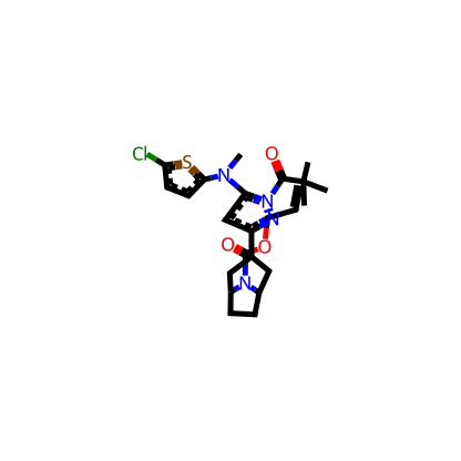 C=CCOC(=O)N1C2CCC1CC(c1cc(N(C)c3ccc(Cl)s3)n(C(=O)C(C)(C)C)n1)C2